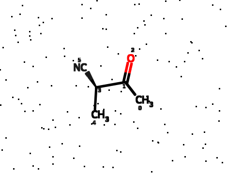 CC(=O)[C@@H](C)C#N